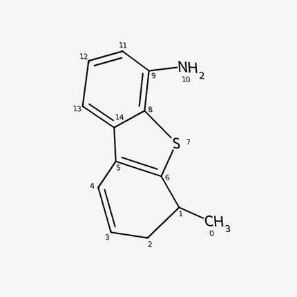 CC1CC=Cc2c1sc1c(N)cccc21